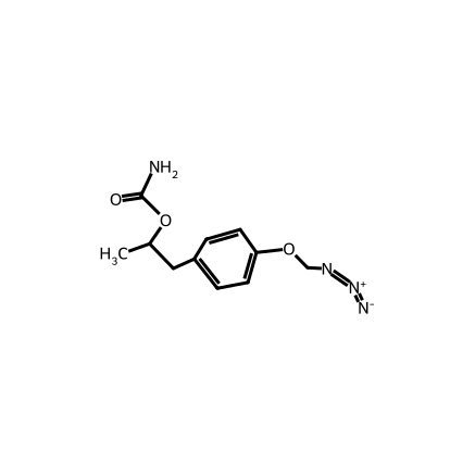 CC(Cc1ccc(OCN=[N+]=[N-])cc1)OC(N)=O